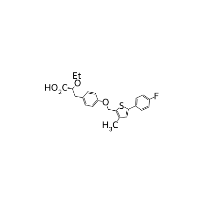 CCO[C@@H](Cc1ccc(OCc2sc(-c3ccc(F)cc3)cc2C)cc1)C(=O)O